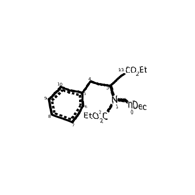 CCCCCCCCCCN(C(=O)OCC)C(Cc1ccccc1)C(=O)OCC